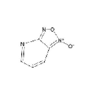 [O-][n+]1onc2ncccc21